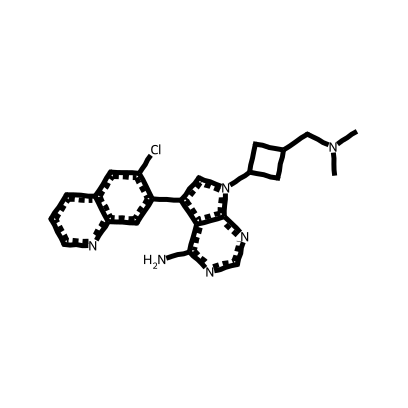 CN(C)CC1CC(n2cc(-c3cc4ncccc4cc3Cl)c3c(N)ncnc32)C1